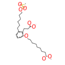 COC(=O)CCCCCCCCOc1cccc(CCCCCCOS(C)(=O)=O)c1CCC(=O)OC